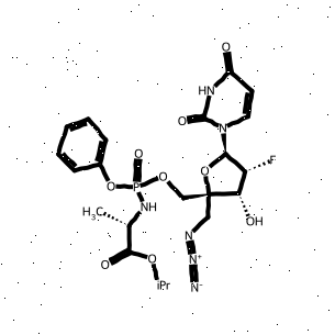 CC(C)OC(=O)[C@H](C)NP(=O)(OC[C@@]1(CN=[N+]=[N-])O[C@@H](n2ccc(=O)[nH]c2=O)[C@H](F)[C@@H]1O)Oc1ccccc1